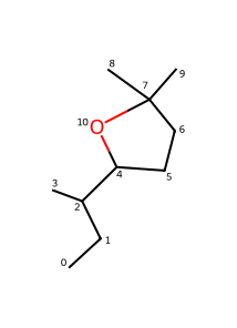 CCC(C)C1CCC(C)(C)O1